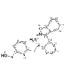 N[C@@H](Cc1cccc(CO)n1)c1ccccc1-c1noc2ccccc12